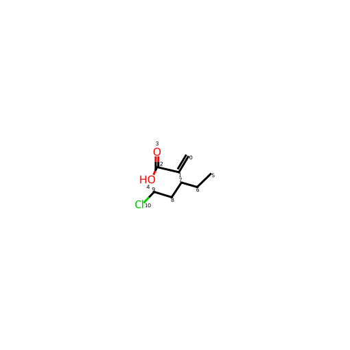 C=CC(=O)O.CCCCCCl